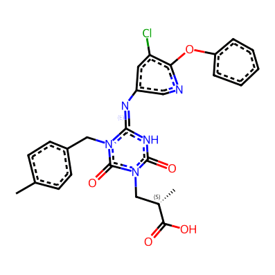 Cc1ccc(Cn2c(=O)n(C[C@H](C)C(=O)O)c(=O)[nH]/c2=N\c2cnc(Oc3ccccc3)c(Cl)c2)cc1